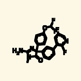 CN1C(=O)C(c2ccc(OC(F)F)cc2)(c2cccc(-c3cc(F)cnc3F)c2)N=C1N